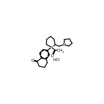 CC(=O)[N+]1(c2ccc3c(c2)CCCC3=O)CCCCC1CN1CCCC1.Cl